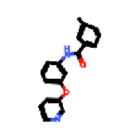 Cc1cccc(C(=O)Nc2cccc(Oc3cccnc3)c2)c1